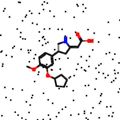 COc1ccc(C2CN/C(=C\C(=O)O)C2)cc1OC1CCCC1